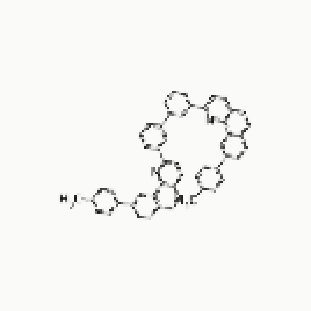 Cc1ccc(-c2ccc3ccc4ccc(-c5cccc(-c6cccc(-c7ccc8ccc9ccc(-c%10ccc(C)cc%10)cc9c8n7)c6)c5)nc4c3c2)cc1